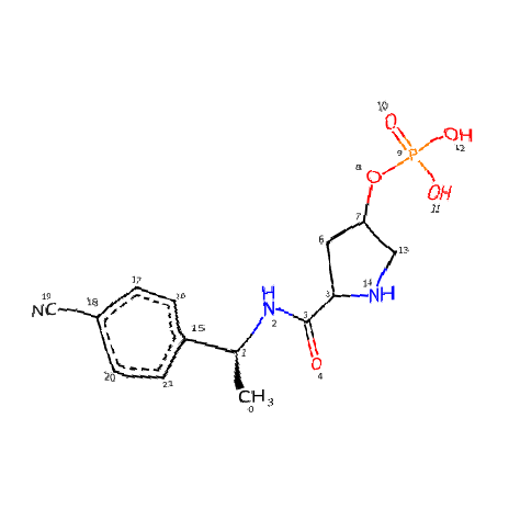 C[C@H](NC(=O)C1CC(OP(=O)(O)O)CN1)c1ccc(C#N)cc1